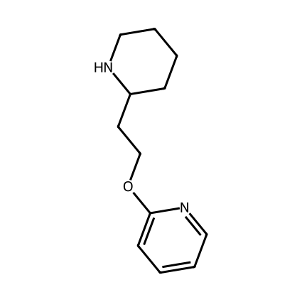 c1ccc(OCCC2CCCCN2)nc1